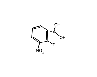 O=[N+]([O-])c1ccccc1F.OBO